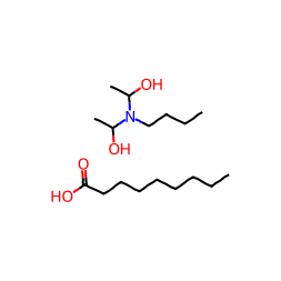 CCCCCCCCC(=O)O.CCCCN(C(C)O)C(C)O